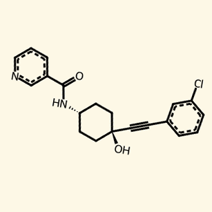 O=C(N[C@H]1CC[C@@](O)(C#Cc2cccc(Cl)c2)CC1)c1cccnc1